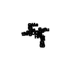 COc1ccc2c(c1)[C@]1(C[C@H]1c1ccc3c(Nc4cc(N5CCS(=O)(=O)CC5)nc(C)n4)nn(C(=O)OC(C)(C)C)c3c1)C(=O)N2C(=O)OC(C)(C)C